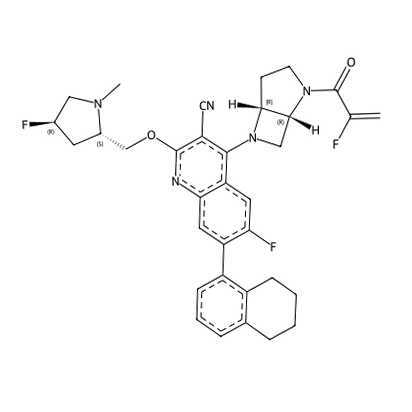 C=C(F)C(=O)N1CC[C@@H]2[C@H]1CN2c1c(C#N)c(OC[C@@H]2C[C@@H](F)CN2C)nc2cc(-c3cccc4c3CCCC4)c(F)cc12